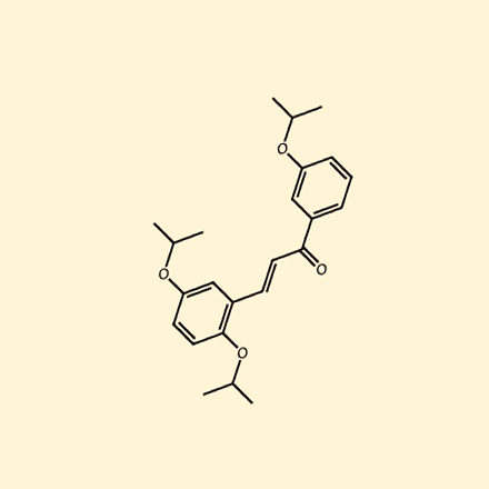 CC(C)Oc1cccc(C(=O)C=Cc2cc(OC(C)C)ccc2OC(C)C)c1